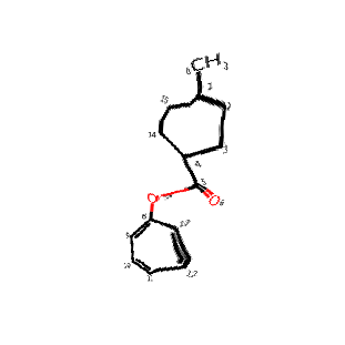 CC1CCC(C(=O)Oc2ccccc2)CC1